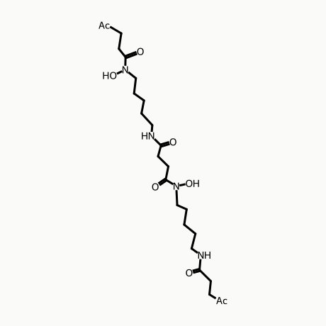 CC(=O)CCC(=O)NCCCCCN(O)C(=O)CCC(=O)NCCCCCN(O)C(=O)CCC(C)=O